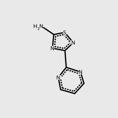 Nc1nc(-c2ncccn2)ns1